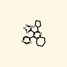 c1cc(-c2c3c(nc(C4CCCC4)c2-c2nnn[nH]2)CCCCC3)ncn1